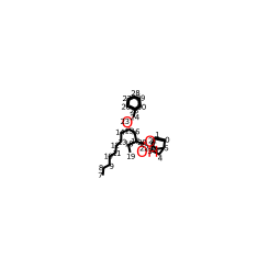 C1=CC2CCC1C2.CCCCCCCCC(CC(CC)C(=O)O)OCc1ccccc1